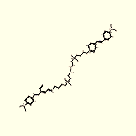 C=CC(/C=C/c1ccc(N(C)C)cc1)=C\C=N\CCCC[N+](C)(C)CCSSCC[N+](C)(C)CCCC[n+]1ccc(/C=C/c2ccc(N(C)C)cc2)cc1